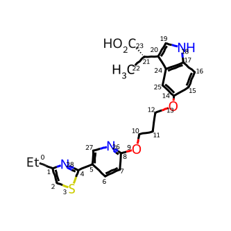 CCc1csc(-c2ccc(OCCCOc3ccc4[nH]cc([C@H](C)C(=O)O)c4c3)nc2)n1